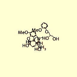 COc1ccc2c3c1O[C@H]1[C@@H](O)C=C[C@H]4[C@@H](C2)N(C)CC[C@@]341.COc1ccccc1OCC(O)CO.Cl.N